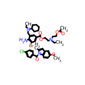 CCN(CCOC(C)=O)CCOC(=O)c1cc(Br)c(N)c(CN(CC)C2CCCCC2)c1.COc1ccc2c(c1)cc(C)n2C(=O)c1ccc(Cl)cc1